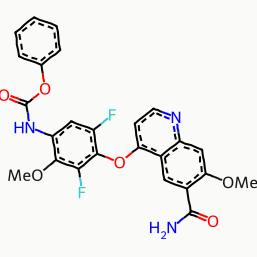 COc1cc2nccc(Oc3c(F)cc(NC(=O)Oc4ccccc4)c(OC)c3F)c2cc1C(N)=O